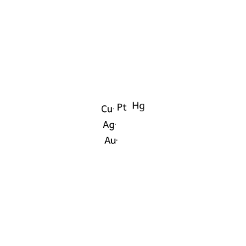 [Ag].[Au].[Cu].[Hg].[Pt]